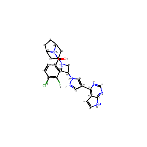 O=C(c1ccc(Cl)c(F)c1)N1C2CCC1CC(N1CC(n3cc(-c4ncnc5[nH]ccc45)cn3)C1)C2